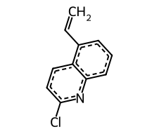 C=Cc1cccc2nc(Cl)ccc12